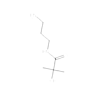 CC(C)(O)C(=O)NCCCN